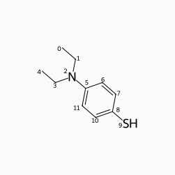 CCN(CC)c1ccc(S)cc1